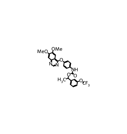 COc1cc2ncnc(Oc3ccc(NC(=O)OC(C)c4cccc(OC(F)(F)F)c4)cc3)c2cc1OC